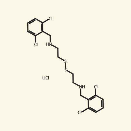 Cl.Clc1cccc(Cl)c1CNCCSSCCNCc1c(Cl)cccc1Cl